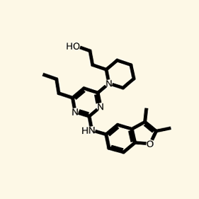 CCCc1cc(N2CCCCC2CCO)nc(Nc2ccc3oc(C)c(C)c3c2)n1